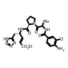 CCOC(=O)/C=C/[C@H](Cc1nnn[nH]1)NC(=O)[C@H]1CCCN1C(=O)C(NC(=O)c1ccc(N)c(Cl)c1)C(C)(C)C